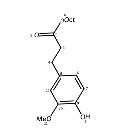 CCCCCCCCC(=O)CCc1ccc(O)c(OC)c1